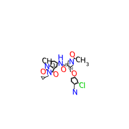 CCn1c(=O)n(CC2CC2)c(=O)c2cc(NC(=O)[C@@H]3CN(C(C)=O)C[C@H]3COc3ccc(C#N)c(Cl)c3)ccc21